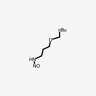 CCCCCOCCCNN=O